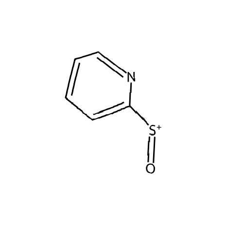 O=[S+]c1ccccn1